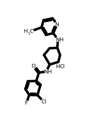 Cc1ccnc(NC2CCC(NC(=O)c3ccc(F)c(Cl)c3)CC2)c1.Cl